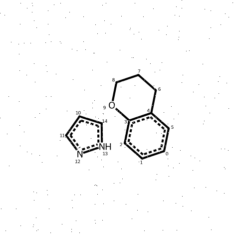 c1ccc2c(c1)CCCO2.c1cn[nH]c1